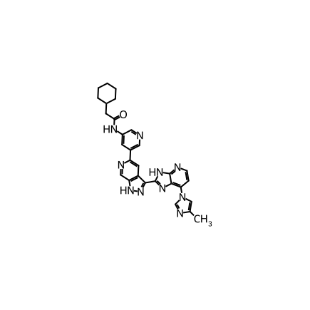 Cc1cn(-c2ccnc3[nH]c(-c4n[nH]c5cnc(-c6cncc(NC(=O)CC7CCCCC7)c6)cc45)nc23)cn1